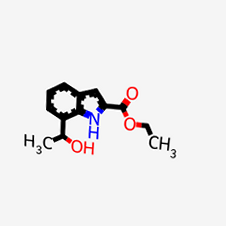 CCOC(=O)c1cc2cccc(C(C)O)c2[nH]1